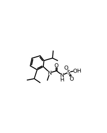 CC(C)c1cccc(C(C)C)c1N(C)C(=O)NS(=O)(=O)O